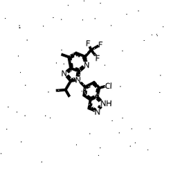 Cc1cc(C(F)(F)F)nc2c1nc(C(C)C)n2-c1cc(Cl)c2[nH]ncc2c1